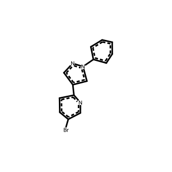 Brc1ccc(-c2cnn(-c3ccccc3)c2)nc1